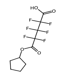 O=C(O)C(F)(F)C(F)(F)C(F)(F)C(=O)OC1CCCC1